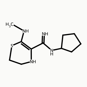 CNC1=C(C(=N)NC2CCCC2)NCCS1